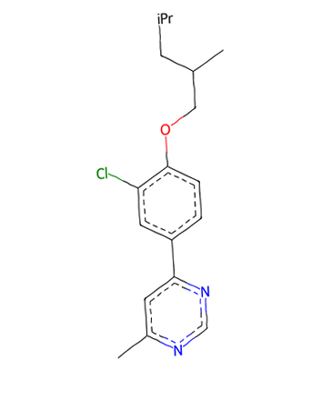 Cc1cc(-c2ccc(OCC(C)CC(C)C)c(Cl)c2)ncn1